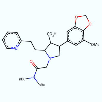 CCCCN(CCCC)C(=O)CN1CC(c2cc(OC)c3c(c2)OCO3)C(C(=O)O)C1CCc1ccccn1